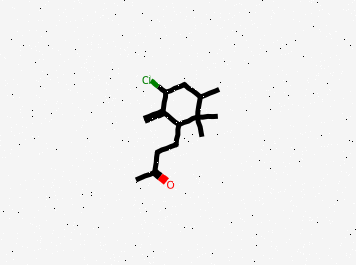 C=C1C(Cl)CC(C)C(C)(C)C1CCC(C)=O